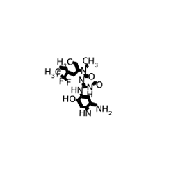 C\C=C/C(=C\C(=C/C)N(CC)C(=O)/N=C(\NC=O)NC1=C/C(=C/N)C(=N)C=C1O)C(F)(F)F